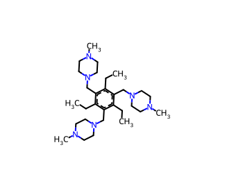 CCc1c(CN2CCN(C)CC2)c(CC)c(CN2CCN(C)CC2)c(CC)c1CN1CCN(C)CC1